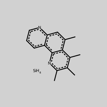 Cc1nc2c(c(C)cc3ncccc32)c(C)c1C.[SiH4]